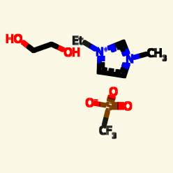 CC[n+]1ccn(C)c1.O=S(=O)([O-])C(F)(F)F.OCCO